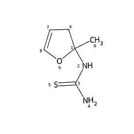 CC1(NC(N)=S)CC=CO1